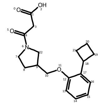 O=C(O)CC(=O)N1CCC(COc2ccccc2C2CCC2)C1